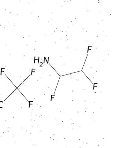 CC(F)(F)F.NC(F)C(F)F